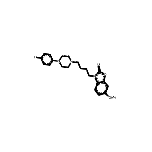 COc1ccc2c(c1)oc(=O)n2CCCCN1CCN(c2ccc(F)cc2)CC1